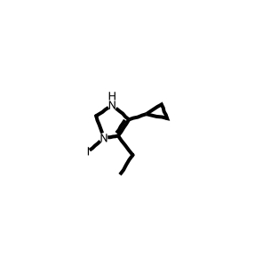 CCC1=C(C2CC2)NCN1I